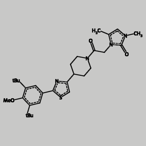 COc1c(C(C)(C)C)cc(-c2nc(C3CCN(C(=O)Cn4c(C)cn(C)c4=O)CC3)cs2)cc1C(C)(C)C